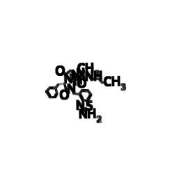 CCCCNC(=O)N(C)N1CC(=O)N2[C@@H](Cc3ccccc3)C(=O)N(Cc3cccc4sc(N)nc34)C[C@@H]21